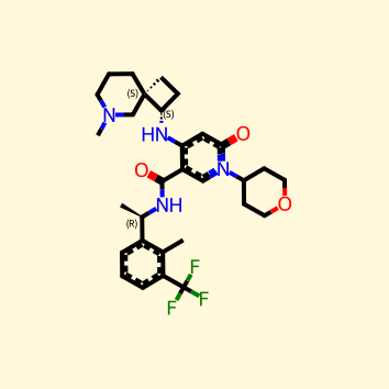 Cc1c([C@@H](C)NC(=O)c2cn(C3CCOCC3)c(=O)cc2N[C@H]2CC[C@]23CCCN(C)C3)cccc1C(F)(F)F